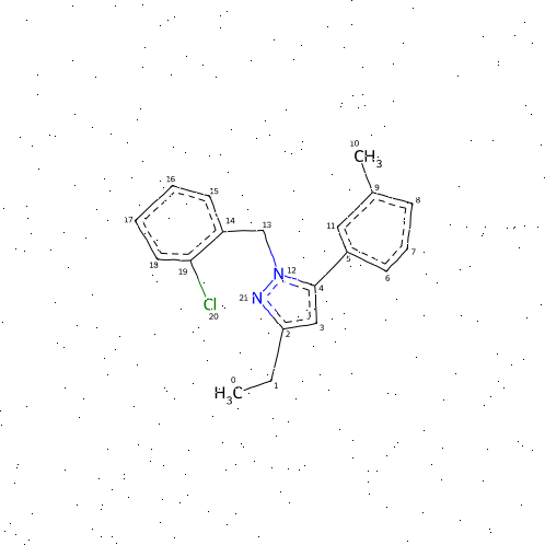 CCc1cc(-c2cccc(C)c2)n(Cc2ccccc2Cl)n1